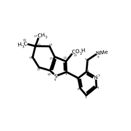 CNCc1ncccc1-c1sc2c(c1C(=O)O)CC(C)(C)CC2